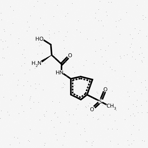 CS(=O)(=O)c1ccc(NC(=O)[C@@H](N)CO)cc1